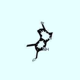 Cc1c(Cl)[nH]c2ncc(Br)cc12